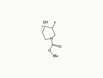 CC(C)(C)OC(=O)N1CC[C@H](O)C(F)C1